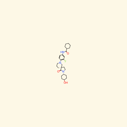 O=C(Nc1ccc(N2CCC[C@@]3(CCN([C@H]4CC[C@H](O)CC4)C3=O)C2)c(F)c1)C1CCCCC1